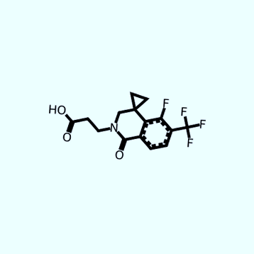 O=C(O)CCN1CC2(CC2)c2c(ccc(C(F)(F)F)c2F)C1=O